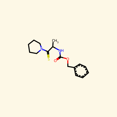 CC(NC(=O)OCc1ccccc1)C(=S)N1CCCCC1